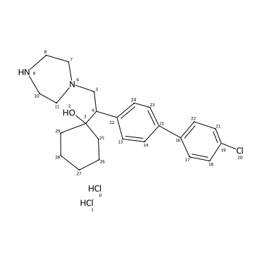 Cl.Cl.OC1(C(CN2CCNCC2)c2ccc(-c3ccc(Cl)cc3)cc2)CCCCC1